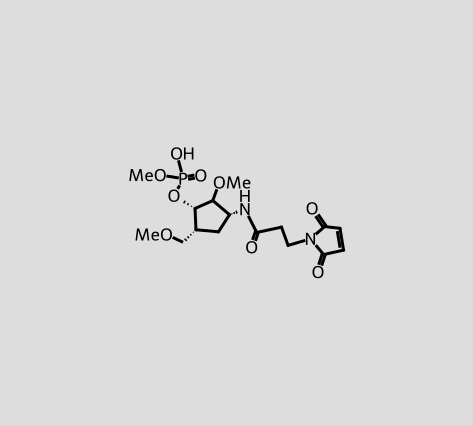 COC[C@H]1C[C@@H](NC(=O)CCN2C(=O)C=CC2=O)C(OC)[C@H]1OP(=O)(O)OC